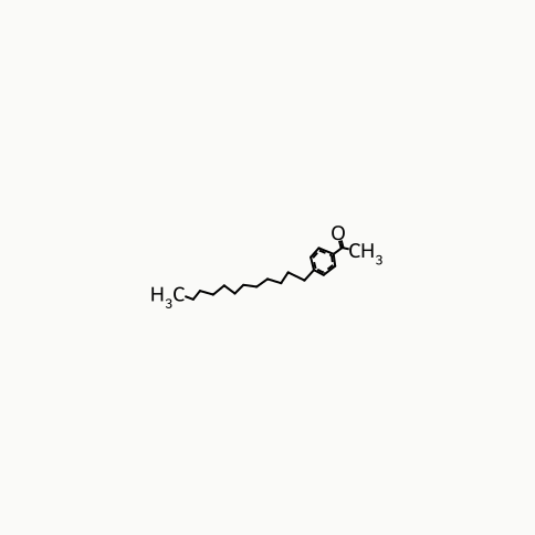 CCCCCCCCCCCCc1ccc(C(C)=O)cc1